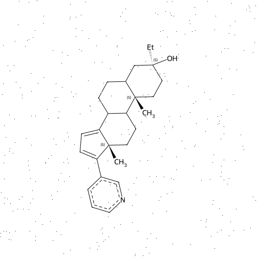 CC[C@]1(O)CC[C@@]2(C)C(CCC3C4=CC=C(c5cccnc5)[C@@]4(C)CCC32)C1